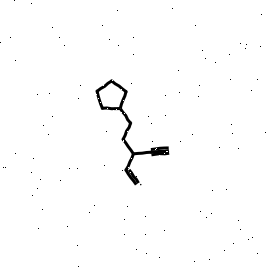 [CH]=CC(C#C)CCC1CCCC1